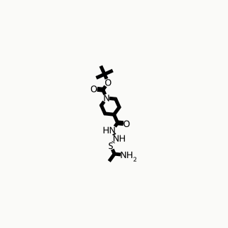 CC(N)SNNC(=O)C1CCN(C(=O)OC(C)(C)C)CC1